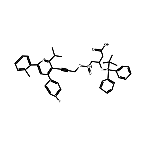 Cc1ccccc1-c1cc(-c2ccc(F)cc2)c(C#CCO[PH](=O)CC(CC(=O)O)O[Si](c2ccccc2)(c2ccccc2)C(C)(C)C)c(C(C)C)n1